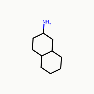 NC1CCC2CCCCC2C1